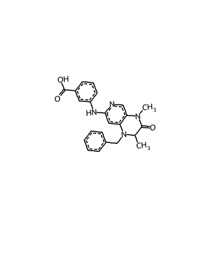 CC1C(=O)N(C)c2cnc(Nc3cccc(C(=O)O)c3)cc2N1Cc1ccccc1